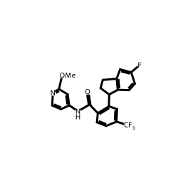 COc1cc(NC(=O)c2ccc(C(F)(F)F)cc2C2CCc3cc(F)ccc32)ccn1